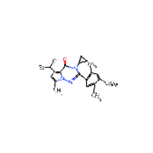 CCC(CC)c1cc(C)n2nc(-c3cc(C)c(OC)cc3C)n(C3CC3)c(=O)c12